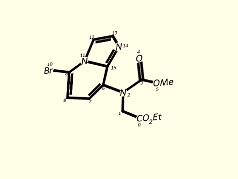 CCOC(=O)CN(C(=O)OC)c1ccc(Br)n2ccnc12